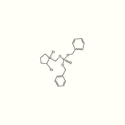 CCC1CCC[N+]1(CC)COP(=O)(OCc1ccccc1)OCc1ccccc1